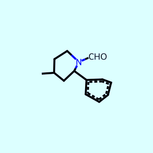 CC1CCN(C=O)C(c2ccccc2)C1